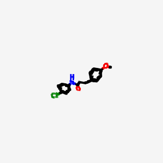 COc1ccc(CCC(=O)Nc2ccc(Cl)cc2)cc1